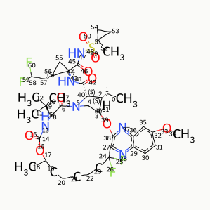 CC[C@@H]1[C@@H]2CN(C(=O)[C@H](C(C)(C)C)NC(=O)OC(C)CCCCCC(F)(F)c3nc4ccc(OC)cc4nc3O2)[C@@H]1C(=O)N[C@]1(C(=O)NS(=O)(=O)C2(C)CC2)C[C@H]1CC(F)F